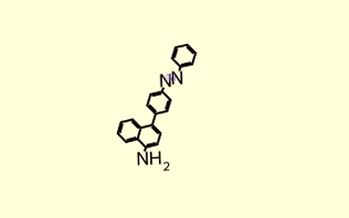 Nc1ccc(-c2ccc(/N=N/c3ccccc3)cc2)c2ccccc12